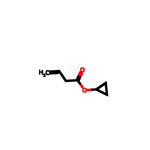 C=CCC(=O)OC1CC1